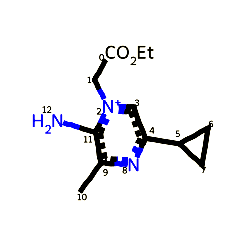 CCOC(=O)C[n+]1cc(C2CC2)nc(C)c1N